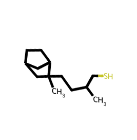 CC(CS)CCC1(C)CC2CCC1C2